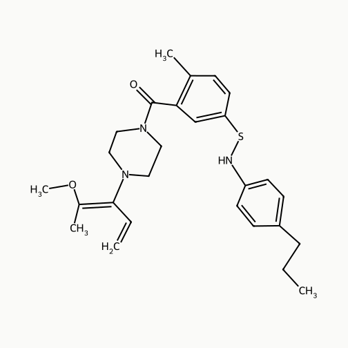 C=C/C(=C(\C)OC)N1CCN(C(=O)c2cc(SNc3ccc(CCC)cc3)ccc2C)CC1